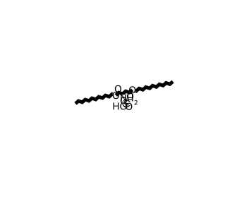 CCCCCCCCCCCCOC(=O)CC(N)C(=O)OCCCCCCCCCCCC.CS(=O)(=O)O